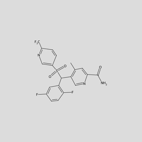 Cc1cc(C(N)=O)ncc1C(c1cc(F)ccc1F)S(=O)(=O)c1ccc(C(F)(F)F)nc1